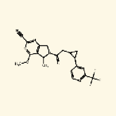 COc1nc(C#N)nc2c1C(C)N(C(=O)CC1CC1c1ccnc(C(F)(F)F)c1)C2